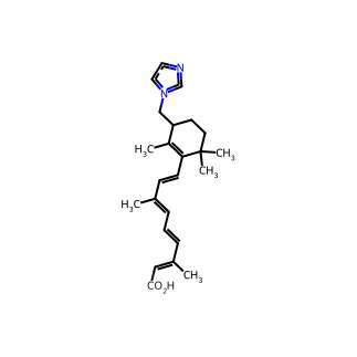 CC(C=CC1=C(C)C(Cn2ccnc2)CCC1(C)C)=CC=CC(C)=CC(=O)O